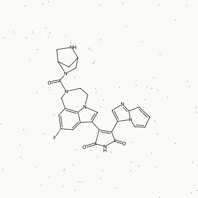 O=C1NC(=O)C(c2cnc3ccccn23)=C1c1cn2c3c(cc(F)cc13)CN(C(=O)N1CC3CC1CN3)CC2